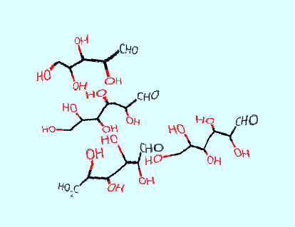 O=CC(O)C(O)C(O)C(O)C(=O)O.O=CC(O)C(O)C(O)C(O)CO.O=CC(O)C(O)C(O)C(O)CO.O=CC(O)C(O)C(O)CO